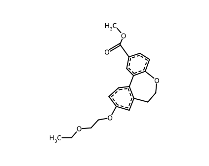 CCOCCOc1ccc2c(c1)CCOc1ccc(C(=O)OC)cc1-2